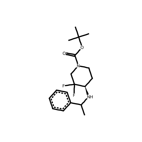 CC(N[C@@H]1CCN(C(=O)OC(C)(C)C)CC1(F)F)c1ccccc1